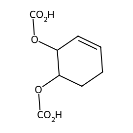 O=C(O)OC1C=CCCC1OC(=O)O